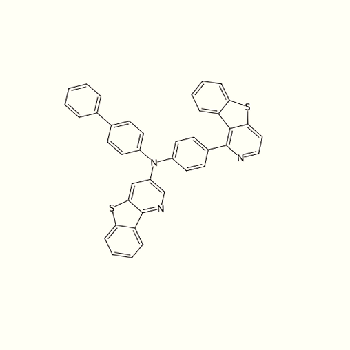 c1ccc(-c2ccc(N(c3ccc(-c4nccc5sc6ccccc6c45)cc3)c3cnc4c(c3)sc3ccccc34)cc2)cc1